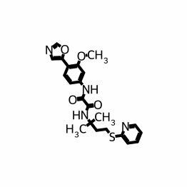 COc1cc(NC(=O)C(=O)NC(C)(C)CCSc2ccccn2)ccc1-c1cnco1